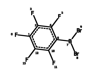 Fc1c(F)c(F)c(B(Br)Br)c(F)c1F